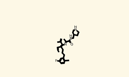 C=C(C)C(/N=C(\C)C(=O)BCC1CCNCC1)=C(\C=C/C)CCCc1cc(F)ccc1C